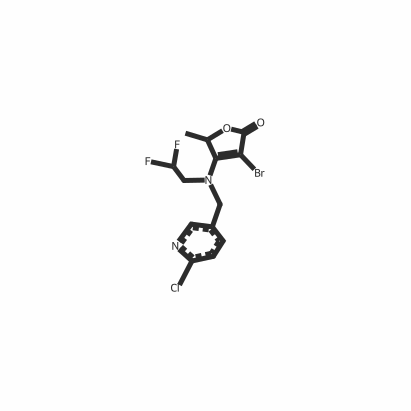 CC1OC(=O)C(Br)=C1N(Cc1ccc(Cl)nc1)CC(F)F